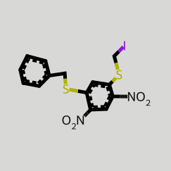 O=[N+]([O-])c1cc([N+](=O)[O-])c(SCc2ccccc2)cc1SCI